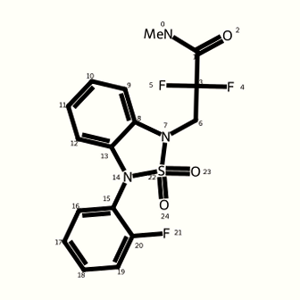 CNC(=O)C(F)(F)CN1c2ccccc2N(c2ccccc2F)S1(=O)=O